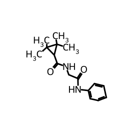 CC1(C)C(C(=O)NCC(=O)Nc2ccccc2)C1(C)C